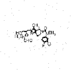 Cc1c2c(nn1CC(CO)ON(C)C=O)CCN(C(=O)N(C)c1ccc(F)c(Cl)c1)C2